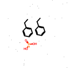 CCc1ccccc1.CCc1ccccc1.O=[PH](O)O